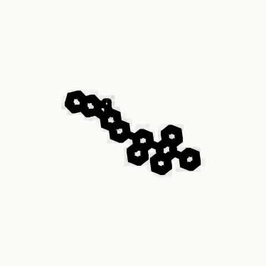 c1ccc(-c2c3ccccc3c(-c3ccc(-c4ccc5cc6c(cc5c4)oc4cc5ccccc5cc46)c4ccccc34)c3ccccc23)cc1